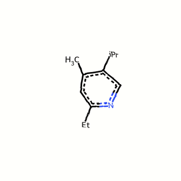 CCc1cc(C)c(C(C)C)cn1